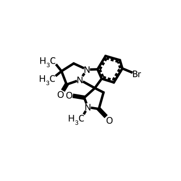 CN1C(=O)CC2(C1=O)c1cc(Br)ccc1N1CC(C)(C)C(=O)N12